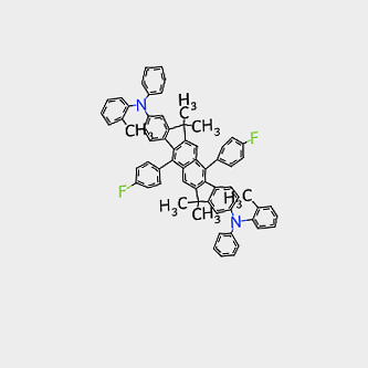 Cc1ccccc1N(c1ccccc1)c1ccc2c(c1)C(C)(C)c1cc3c(-c4ccc(F)cc4)c4c(cc3c(-c3ccc(F)cc3)c1-2)C(C)(C)c1cc(N(c2ccccc2)c2ccccc2C)ccc1-4